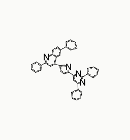 c1ccc(-c2ccc3nc(-c4ccccc4)cc(-c4ccc(-c5cc(-c6ccccc6)nc(-c6ccccc6)n5)nc4)c3c2)cc1